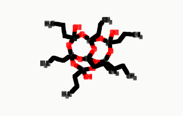 CCC[Si]1(O)O[Si]2(CCC)O[Si](O)(CCC)O[Si]3(CCC)O[Si](O)(CCC)O[Si](CCC)(O1)O[Si](CCC)(O2)O3